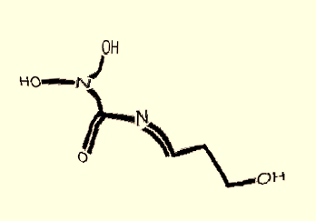 O=C(N=CCCO)N(O)O